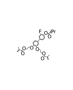 C=C(C)C(=O)OCCOc1ccc(-c2ccc(OC(=O)C(C)C)c(F)c2)cc1OCCOC(=O)C(=C)C